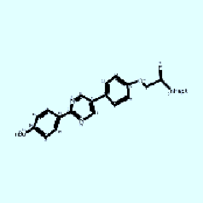 CCCCCCCC(F)COc1ccc(-c2cnc(-c3ccc(CCCC)cc3)nc2)cc1